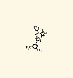 Cc1noc(C)c1/C(=C\n1cnc(-c2cc(C(F)(F)F)cc(C(F)(F)F)c2)n1)C(=O)OC(C)C